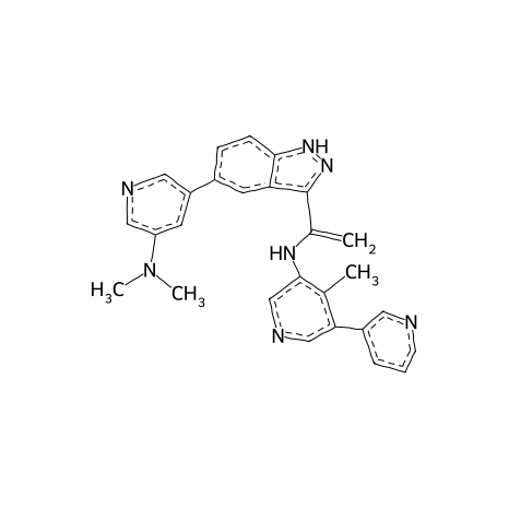 C=C(Nc1cncc(-c2cccnc2)c1C)c1n[nH]c2ccc(-c3cncc(N(C)C)c3)cc12